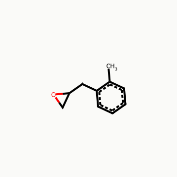 Cc1ccccc1[CH]C1CO1